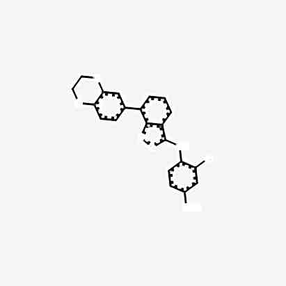 O=Cc1ccc(Nc2nsc3c(-c4ccc5c(c4)OCCO5)cccc23)c(Br)c1